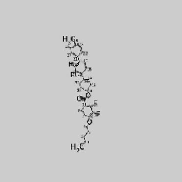 C=CCCCOc1ccc(C(=O)OC2CCC(c3ccc(-c4ccc(C)cc4)c(F)c3F)CC2)c(F)c1F